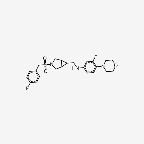 O=S(=O)(Cc1ccc(F)cc1)N1CC2C(CNc3ccc(N4CCOCC4)c(F)c3)C2C1